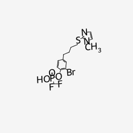 Cn1ccnc1SCCCCc1ccc(OP(=O)(O)C(F)F)c(Br)c1